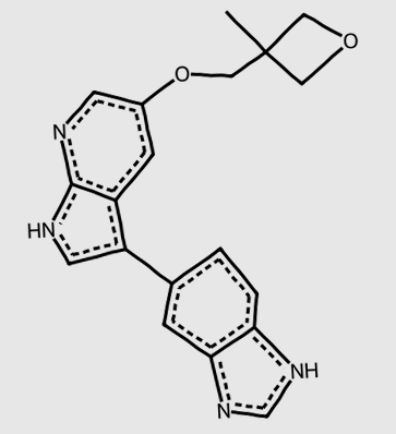 CC1(COc2cnc3[nH]cc(-c4ccc5[nH]cnc5c4)c3c2)COC1